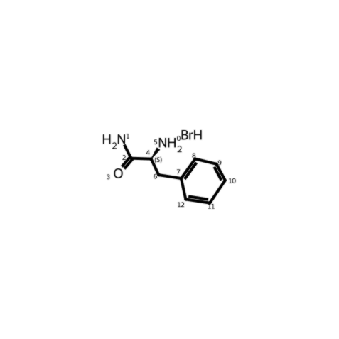 Br.NC(=O)[C@@H](N)Cc1ccccc1